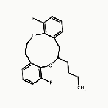 CCCCC1Cc2cccc(F)c2OCCc2cccc(F)c2O1